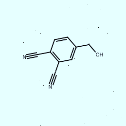 N#Cc1ccc([CH]O)cc1C#N